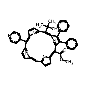 COC(=O)C1=C2C=CC(=N2)C=C2C=CC(=N2)C(c2ccncc2)=C2C=CC(=N2)C(C(C)(C)C)=C2N=C1C(c1ccccc1)=C2c1ccccc1